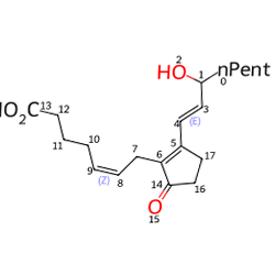 CCCCCC(O)/C=C/C1=C(C/C=C\CCCC(=O)O)C(=O)CC1